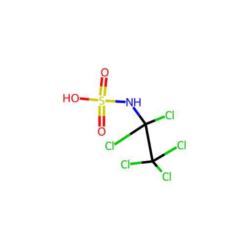 O=S(=O)(O)NC(Cl)(Cl)C(Cl)(Cl)Cl